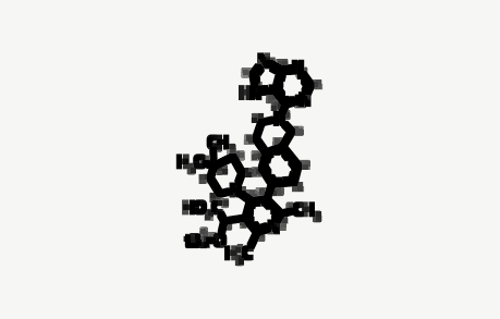 Cc1nc(C)c(C(OC(C)(C)C)C(=O)O)c(N2CCC(C)(C)CC2)c1-c1ccc2c(c1)CCN(c1ncnc3nc[nH]c13)C2